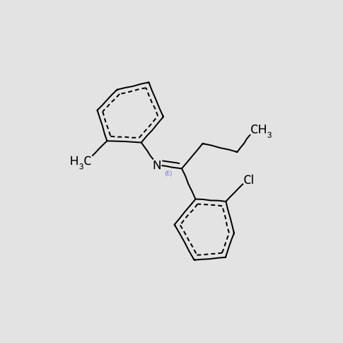 CCC/C(=N\c1ccccc1C)c1ccccc1Cl